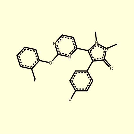 Cn1c(-c2ccnc(Oc3ccccc3F)n2)c(-c2ccc(F)cc2)c(=O)n1C